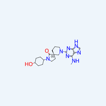 CNc1nc(N2CCC[C@]3(CCN(C4CCC(O)CC4)C3=O)C2)nc2[nH]cnc12